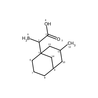 BC(C(=O)O)C12CCCC(CC(C)C1)C2